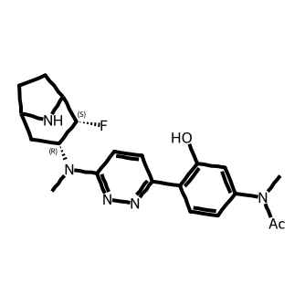 CC(=O)N(C)c1ccc(-c2ccc(N(C)[C@@H]3CC4CCC(N4)[C@@H]3F)nn2)c(O)c1